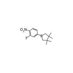 CC1(C)CB(c2ccc([N+](=O)[O-])c(F)c2)CC1(C)C